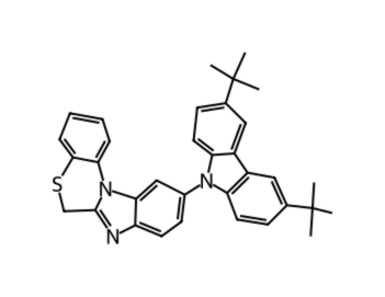 CC(C)(C)c1ccc2c(c1)c1cc(C(C)(C)C)ccc1n2-c1ccc2nc3n(c2c1)-c1ccccc1SC3